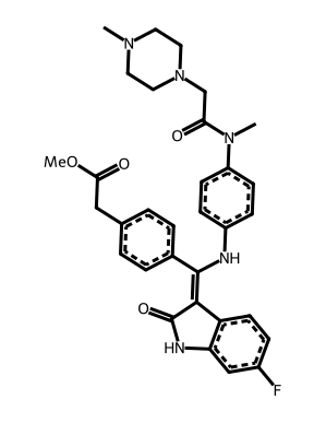 COC(=O)Cc1ccc(C(Nc2ccc(N(C)C(=O)CN3CCN(C)CC3)cc2)=C2C(=O)Nc3cc(F)ccc32)cc1